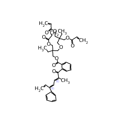 C=CC(=O)OCC(CC)(COCC(CC)(COC(=O)C=C)COC(=O)c1ccccc1C(=O)/C(C)=C/C=C(\C=C)c1ccccc1)COC(=O)C=C